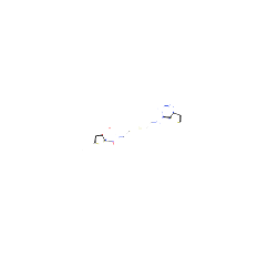 O=C(NCCSSCCNc1ncnc2ccsc12)c1sc(C(F)(F)F)cc1O